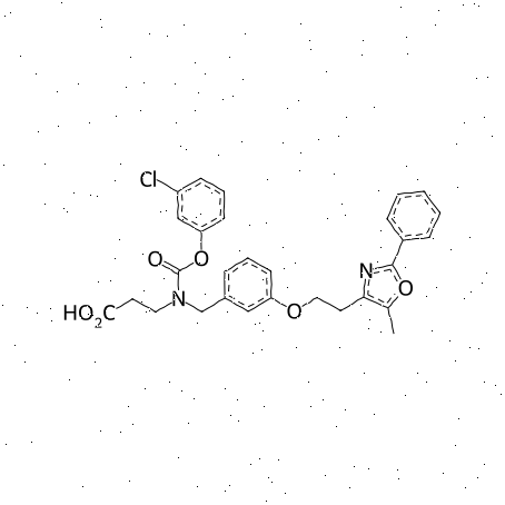 Cc1oc(-c2ccccc2)nc1CCOc1cccc(CN(CCC(=O)O)C(=O)Oc2cccc(Cl)c2)c1